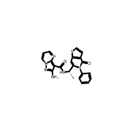 C[C@H](NC(=O)c1c(N)nn2cccnc12)c1cc2sccc2c(=O)n1-c1ccccc1